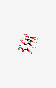 O=C=O.O=C=O.O=CC=O.O=CC=O